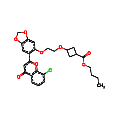 CCCCOC(=O)C1CC(OCCOc2cc3c(cc2-c2cc(=O)c4cccc(Cl)c4o2)OCO3)C1